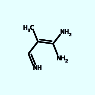 CC(C=N)=C(N)N